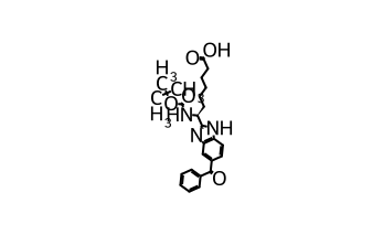 CC(C)(C)OC(=O)N[C@@H](CCCCCC(=O)O)c1nc2cc(C(=O)c3ccccc3)ccc2[nH]1